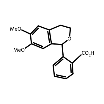 COc1cc2c(cc1OC)C(c1ccccc1C(=O)O)OCC2